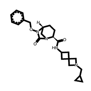 O=C(NC1CC2(C1)CN(CC1CC1)C2)[C@@H]1CC[C@@H]2CN1C(=O)N2OCc1ccccc1